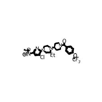 CC[C@H]1CN(c2ncc(NS(C)(=O)=O)cc2Cl)CCN1C1CCN(C(=O)c2ccc(OC(F)(F)F)cc2)CC1